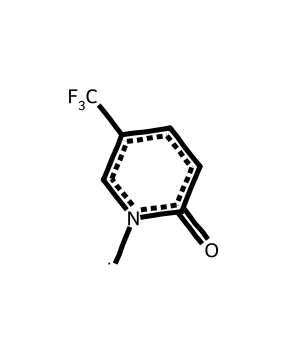 [CH2]n1cc(C(F)(F)F)ccc1=O